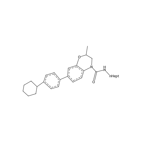 CCCCCCCNC(=O)N1CC(C)Oc2cc(-c3ccc(C4CCCCC4)cc3)ccc21